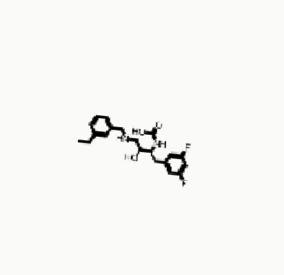 CCc1cccc(CNC[C@H](O)[C@H](Cc2cc(F)cc(F)c2)NC(=O)O)c1